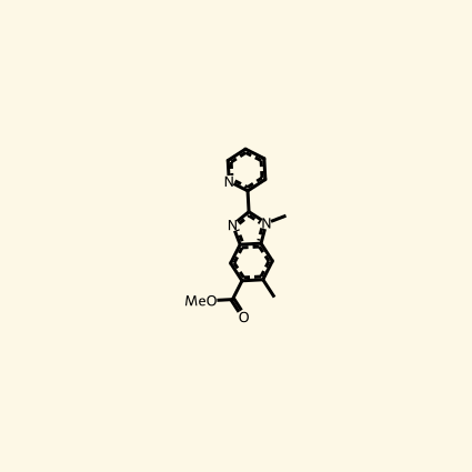 COC(=O)c1cc2nc(-c3ccccn3)n(C)c2cc1C